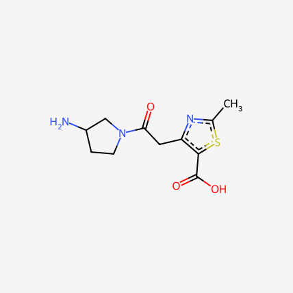 Cc1nc(CC(=O)N2CCC(N)C2)c(C(=O)O)s1